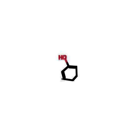 OC1=CCC[C]=C1